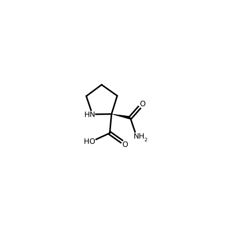 NC(=O)[C@]1(C(=O)O)CCCN1